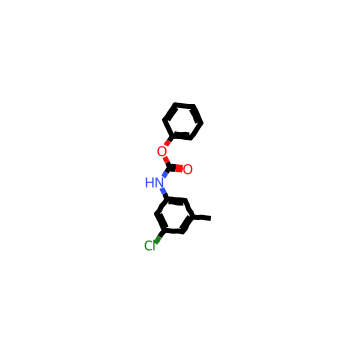 Cc1cc(Cl)cc(NC(=O)Oc2ccccc2)c1